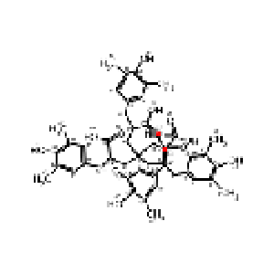 Cc1cc(CC(CC(CC(Cc2cc(C)c(O)c(C)c2)C(=O)O)(CC(Cc2cc(C)c(O)c(C)c2)C(=O)O)CC(Cc2cc(C)c(O)c(C)c2)C(=O)O)C(=O)O)cc(C)c1O